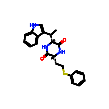 CC(c1c[nH]c2ccccc12)[C@H]1NC(=O)[C@@H](CCSc2ccccc2)NC1=O